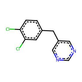 Clc1ccc(Cc2cncnc2)cc1Cl